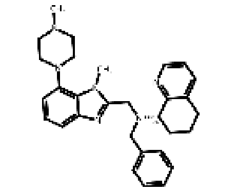 CN1CCN(c2cccc3nc(CN(Cc4ccccc4)[C@H]4CCCc5cccnc54)n(C)c23)CC1